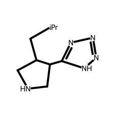 CC(C)CC1CNCC1c1nnn[nH]1